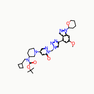 COc1cc(-c2cn(Cn3ncc(N4CCCC(N(CC5CCC5)C(=O)OC(C)(C)C)C4)cc3=O)nn2)c2cnn(C3CCCCO3)c2c1